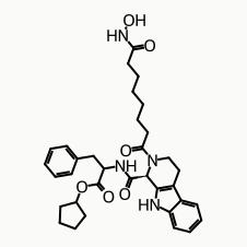 O=C(CCCCCCC(=O)N1CCc2c([nH]c3ccccc23)[C@H]1C(=O)NC(Cc1ccccc1)C(=O)OC1CCCC1)NO